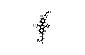 CC(C)OC(=O)Nc1ccc(-c2c(N)c3ccc(OCC[C@@H](C)O)cc3n2C2CCC2)cc1